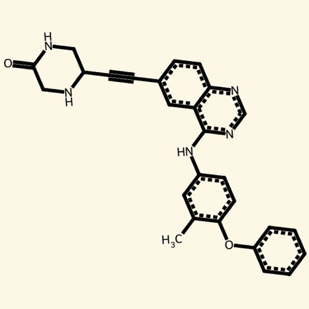 Cc1cc(Nc2ncnc3ccc(C#CC4CNC(=O)CN4)cc23)ccc1Oc1ccccc1